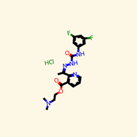 CC(=NNC(=O)Nc1cc(F)cc(F)c1)c1ncccc1C(=O)OCCN(C)C.Cl